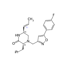 C/C=C/[C@H]1CN(Cc2cc(-c3ccc(F)cc3)on2)[C@@H](CC(C)C)C(=O)N1